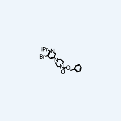 CC(C)c1ncc(N2CCN(C(=O)OCc3ccccc3)CC2)cc1Br